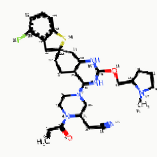 C=CC(=O)N1CCN(C2NC(OCC3CCCN3C)NC3C[C@@]4(CCC32)Cc2c(F)cccc2S4)CC1CC#N